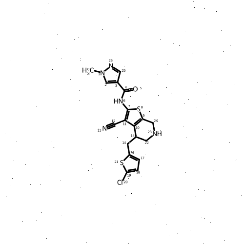 Cn1cc(C(=O)Nc2sc3c(c2C#N)C(Cc2ccc(Cl)s2)CNC3)cn1